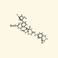 COC(=O)C[C@H](CN1CC2(CCN(CCc3ccc4c(n3)NCCC4)CC2(F)F)C1)c1cccc(-n2nc(C)cc2C)c1